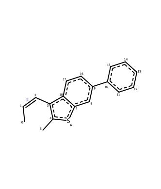 C/C=C\c1c(C)sc2cc(-c3ccccc3)ccc12